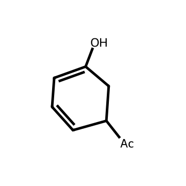 CC(=O)C1C=CC=C(O)C1